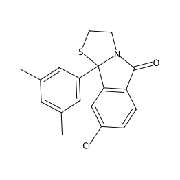 Cc1cc(C)cc(C23SCCN2C(=O)c2ccc(Cl)cc23)c1